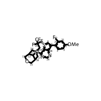 COc1ccc(-c2csc3c(OC4C5COCC4CN(CC(F)(F)C(F)(F)F)C5)ncnc23)c(F)c1